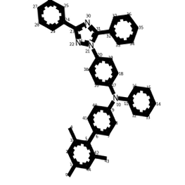 Cc1cc(C)c(-c2ccc(N(c3ccccc3)c3ccc(-n4nc(-c5ccccc5)nc4-c4ccccc4)cc3)cc2)c(C)c1